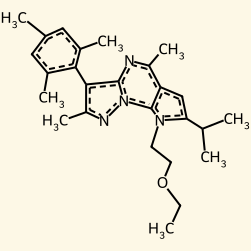 CCOCCn1c(C(C)C)cc2c(C)nc3c(-c4c(C)cc(C)cc4C)c(C)nn3c21